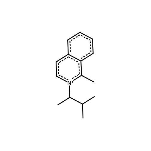 Cc1c2ccccc2cc[n+]1C(C)C(C)C